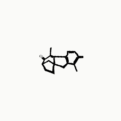 CC1=C2c3ccc(C)c(C)c3CC23CCC(C3)C1=O